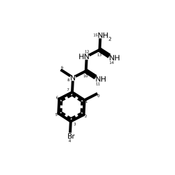 Cc1cc(Br)ccc1N(C)C(=N)NC(=N)N